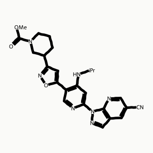 COC(=O)N1CCCC(c2cc(-c3cnc(-n4ncc5cc(C#N)cnc54)cc3NC(C)C)on2)C1